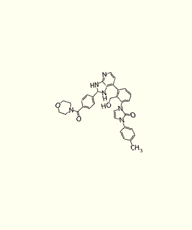 Cc1ccc(-n2ccn(-c3cccc(-c4ccnc5c4NC(c4ccc(C(=O)N6CCOCC6)cc4)N5)c3CO)c2=O)cc1